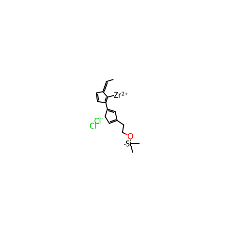 CC=C1C=CC(C2=CC(CCO[Si](C)(C)C)=CC2)=[C]1[Zr+2].[Cl-].[Cl-]